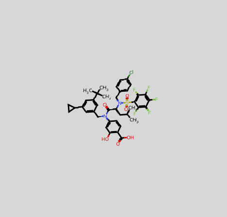 CC(C)CC(C(=O)N(Cc1cc(C2CC2)cc(C(C)(C)C)c1)c1ccc(C(=O)O)c(O)c1)N(Cc1ccc(Cl)cc1)S(=O)(=O)c1c(F)c(F)c(F)c(F)c1F